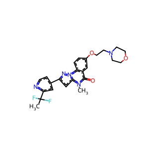 Cn1c(=O)c2cc(OCCN3CCOCC3)ccc2n2nc(-c3ccnc(C(C)(F)F)c3)cc12